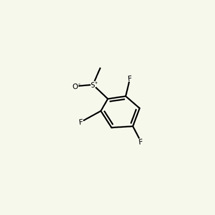 C[S+]([O-])c1c(F)cc(F)cc1F